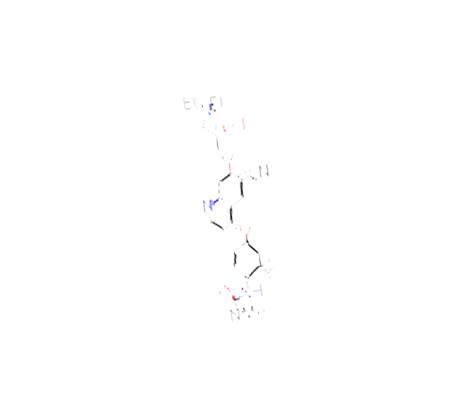 CCN(CC)C[C@H](O)COc1cc2nccc(Oc3ccc(NC(=O)NC)c(Cl)c3)c2cc1C#N